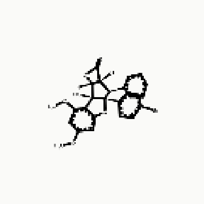 COc1cc(OC)c2c(c1)O[C@@]1(c3ccc(Br)cc3)[C@H](c3ccccc3)[C@H]3C(=O)O[C@H]3[C@@]21O